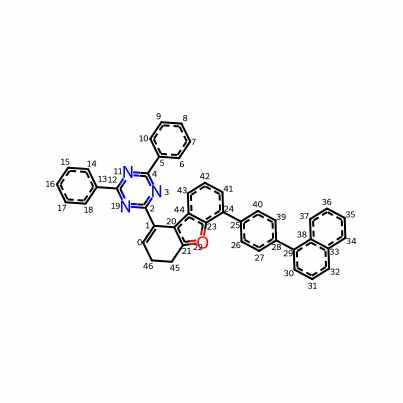 C1=C(c2nc(-c3ccccc3)nc(-c3ccccc3)n2)c2c(oc3c(-c4ccc(-c5cccc6ccccc56)cc4)cccc23)CC1